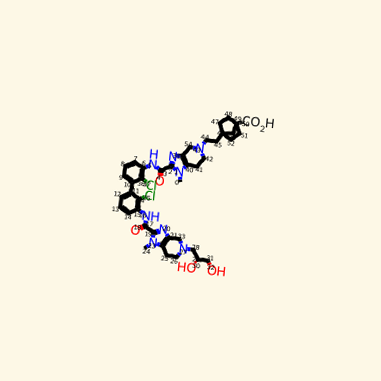 Cn1c(C(=O)Nc2cccc(-c3cccc(NC(=O)c4nc5c(n4C)CCN(C[C@H](O)CO)C5)c3Cl)c2Cl)nc2c1CCN(CCC13CCC(C(=O)O)(CC1)C3)C2